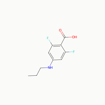 CCCNc1cc(F)c(C(=O)O)c(F)c1